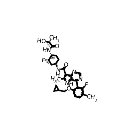 Cc1ccc(OCC2CC2)c(-c2ncnc3c(C(=O)N[C@@H]4CC[C@@H](NC(=O)[C@H](C)O)[C@H](F)C4)c(C)[nH]c23)c1F